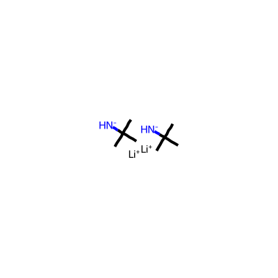 CC(C)(C)[NH-].CC(C)(C)[NH-].[Li+].[Li+]